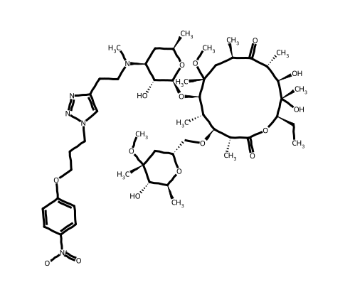 CC[C@H]1OC(=O)[C@H](C)[C@@H](OC[C@H]2C[C@@](C)(OC)[C@@H](O)[C@H](C)O2)[C@H](C)[C@@H](O[C@@H]2O[C@H](C)C[C@H](N(C)CCc3cn(CCCOc4ccc([N+](=O)[O-])cc4)nn3)[C@H]2O)[C@](C)(OC)C[C@@H](C)C(=O)[C@H](C)[C@@H](O)[C@]1(C)O